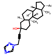 CC(=O)[C@H]1CC[C@H]2[C@@H]3CC[C@@H]4C[C@@](O)(C#CCn5cncn5)CC[C@]4(C)[C@H]3CC[C@]12C